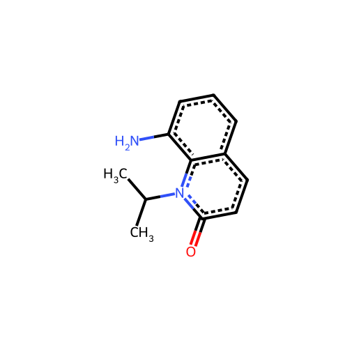 CC(C)n1c(=O)ccc2cccc(N)c21